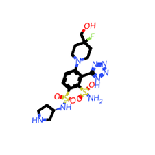 NS(=O)(=O)c1c(S(=O)(=O)N[C@@H]2CCNC2)ccc(N2CCC(F)(CO)CC2)c1-c1nnn[nH]1